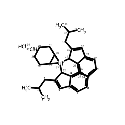 CC(C)CC1=Cc2ccccc2[CH]1[Hf]1([CH]2C(CC(C)C)=Cc3ccccc32)[CH]2CCCC[CH]21.Cl.Cl